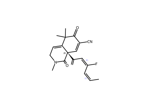 C=C(/C=C(F)\C=C/C)[C@]12C=C(C#N)C(=O)C(C)(C)C1=CCN(C)C2=O